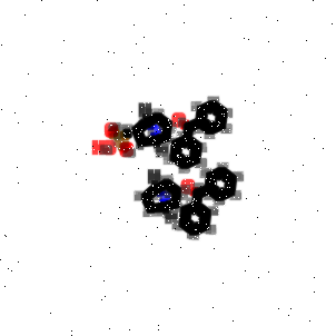 CN1[C@@H]2CC[C@H]1C[C@@H](OC(c1ccccc1)c1ccccc1)C2.CN1[C@@H]2CC[C@H]1C[C@@H](OC(c1ccccc1)c1ccccc1)C2.CS(=O)(=O)O